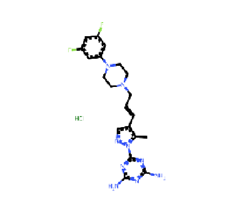 Cc1c(C=CCN2CCN(c3cc(F)cc(F)c3)CC2)cnn1-c1nc(N)nc(N)n1.Cl